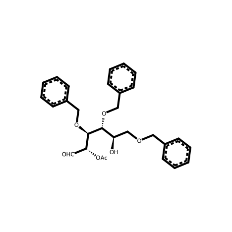 CC(=O)O[C@H](C=O)[C@@H](OCc1ccccc1)[C@H](OCc1ccccc1)[C@H](O)COCc1ccccc1